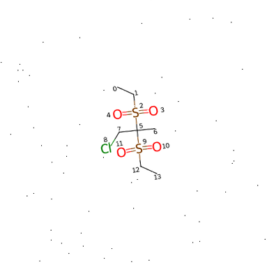 CCS(=O)(=O)C(C)(CCl)S(=O)(=O)CC